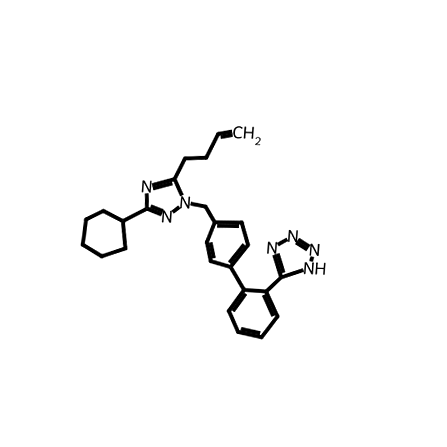 C=CCCc1nc(C2CCCCC2)nn1Cc1ccc(-c2ccccc2-c2nnn[nH]2)cc1